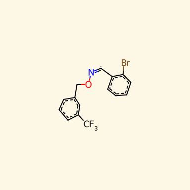 FC(F)(F)c1cccc(CO/N=[C]\c2ccccc2Br)c1